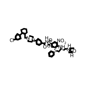 O=C(NS(=O)(=O)c1ccc(N[C@H](CCN2C[C@@H]3C[C@H]2CO3)CSc2ccccc2)c([N+](=O)[O-])c1)c1ccc(N2CCN(CC3=C(c4ccc(Cl)cc4)CCCC3)CC2)cc1